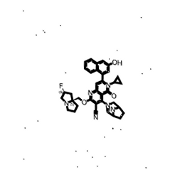 N#Cc1c(OC[C@@]23CCCN2C[C@H](F)C3)nc2cc(-c3cc(O)cc4ccccc34)n(C3CC3)c(=O)c2c1N1CC2CCC(C1)N2